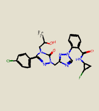 O=C(NC1CC1F)c1ccccc1-n1cnc(Cn2nc(-c3ccc(Cl)cc3)n(CC(O)C(F)(F)F)c2=O)n1